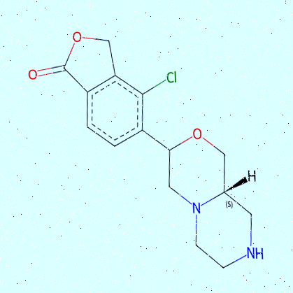 O=C1OCc2c1ccc(C1CN3CCNC[C@H]3CO1)c2Cl